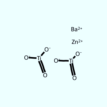 [Ba+2].[O]=[Ti]([O-])[O-].[O]=[Ti]([O-])[O-].[Zn+2]